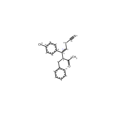 CC(=O)N(Cc1ccccc1)/C(=C/SC#N)c1ccc(Cl)cc1